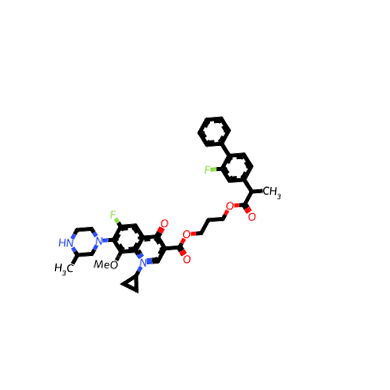 COc1c(N2CCNC(C)C2)c(F)cc2c(=O)c(C(=O)OCCCOC(=O)C(C)c3ccc(-c4ccccc4)c(F)c3)cn(C3CC3)c12